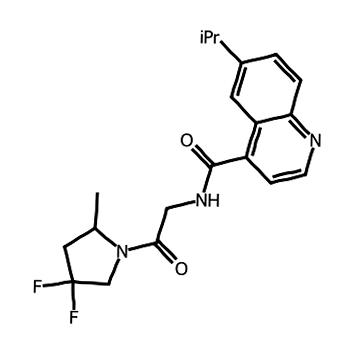 CC(C)c1ccc2nccc(C(=O)NCC(=O)N3CC(F)(F)CC3C)c2c1